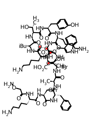 CC[C@H](C)C(NC(=O)[C@H](CCCCN)NC(=O)[C@H](Cc1c[nH]c2ccccc12)NC(=O)[C@@H](NC(=O)[C@H](C)NC(=O)[C@H](Cc1ccccc1)NC(=O)[C@H](CC(C)C)NC(=O)[C@H](CCCCN)NC(=O)CON)C(C)C)C(=O)N[C@H](C(=O)N[C@@H](Cc1ccc(O)cc1)C(=O)N[C@@H](CCCCN)C(=O)N[C@@H](CC(=O)O)C(=O)N[C@H](C(=O)O)[C@@H](C)O)[C@@H](C)O